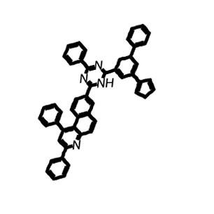 C1=CC(C2=CC(c3ccccc3)CC(C3N=C(c4ccccc4)N=C(c4ccc5c(ccc6nc(-c7ccccc7)cc(-c7ccccc7)c65)c4)N3)=C2)=CC1